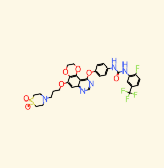 O=C(Nc1ccc(Oc2ncnc3cc(OCCCN4CCS(=O)(=O)CC4)c4c(c23)OCCO4)cc1)Nc1cc(C(F)(F)F)ccc1F